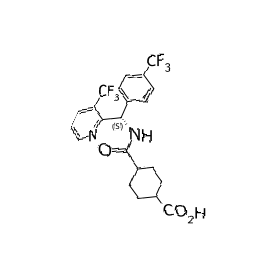 O=C(O)C1CCC(C(=O)N[C@@H](c2ccc(C(F)(F)F)cc2)c2ncccc2C(F)(F)F)CC1